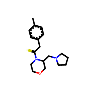 Cc1ccc(CC(=S)N2CCOCC2CN2CCCC2)cc1